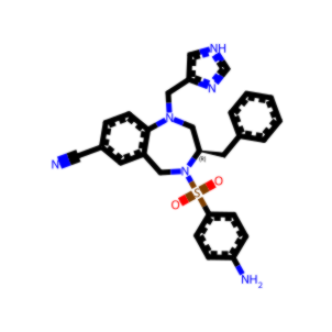 N#Cc1ccc2c(c1)CN(S(=O)(=O)c1ccc(N)cc1)[C@H](Cc1ccccc1)CN2Cc1c[nH]cn1